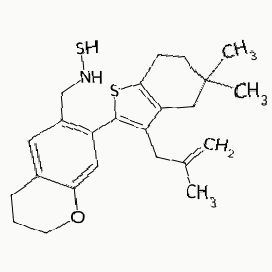 C=C(C)Cc1c(-c2cc3c(cc2CNS)CCCO3)sc2c1CC(C)(C)CC2